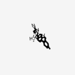 CC1CCC2C(CCC3C2CCC2(C)[C@H]3CC[C@]2(N)C(=O)Cn2ccc(C#N)n2)C1